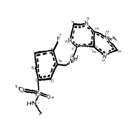 CNS(=O)(=O)c1ccc(F)c(Nc2ncnc3[nH]cnc23)c1